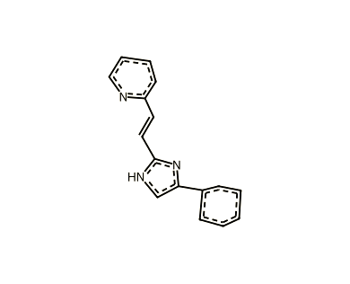 C(=Cc1nc(-c2ccccc2)c[nH]1)c1ccccn1